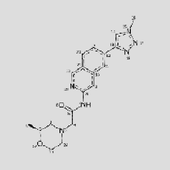 C[C@H]1CN(CC(=O)Nc2cc3cc(-c4cn(C)nn4)ccc3cn2)CCO1